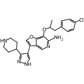 CC(Cc1ccc(Cl)cc1)Oc1c(N)ncc2c(-c3c[nH]nc3C3CCNCC3)coc12